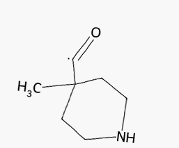 CC1([C]=O)CCNCC1